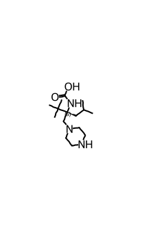 CC(C)C[C@](CN1CCNCC1)(NC(=O)O)C(C)(C)C